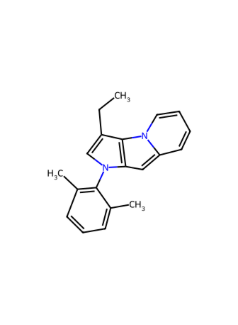 CCc1cn(-c2c(C)cccc2C)c2cc3ccccn3c12